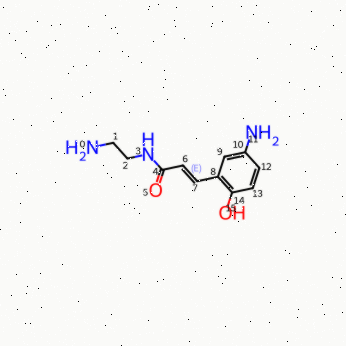 NCCNC(=O)/C=C/c1cc(N)ccc1O